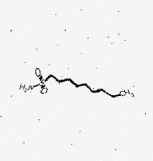 CCCCCCC[CH]CS(N)(=O)=O